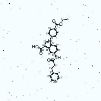 CCOC(=O)c1ccc(-n2cc(C(=O)O)c3cc(NC(=O)CCc4ccncc4)ccc32)cc1